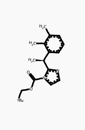 Cc1cccc([C@H](C)c2nccn2C(=O)OCC(C)(C)C)c1C